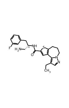 CCc1cnn2c1-c1cc(C(=O)N[C@H](CN)Cc3cccc(F)c3)sc1CCC2